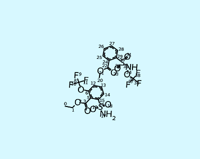 CCOC(=O)c1c(OC(F)(F)F)cccc1S(N)(=O)=O.COC(=O)c1ccccc1S(=O)(=O)NOC(F)(F)F